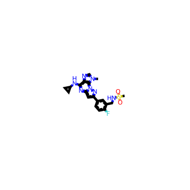 Cn1cnc2c(NC3CC3)nc3cc(-c4ccc(F)c(CNS(C)(=O)=O)c4)nn3c21